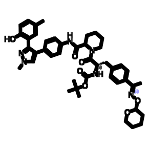 C/C(=N\OC1CCCCO1)c1ccc(C[C@H](NC(=O)OC(C)(C)C)C(=O)N2CCCCC2C(=O)Nc2ccc(-c3cn(C)nc3-c3cc(C)ccc3O)cc2)cc1